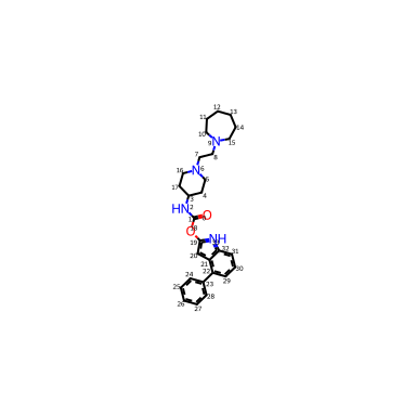 O=C(NC1CCN(CCN2CCCCCC2)CC1)Oc1cc2c(-c3ccccc3)cccc2[nH]1